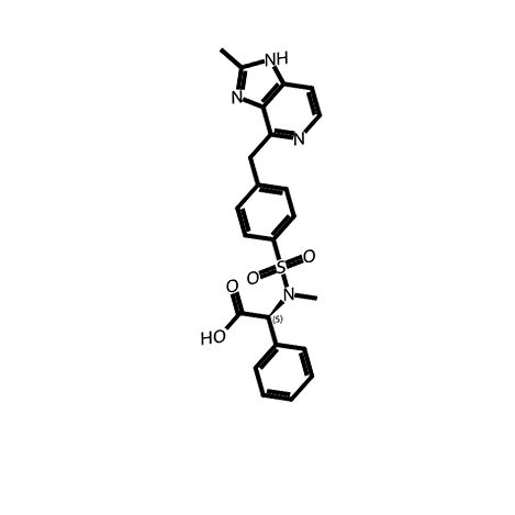 Cc1nc2c(Cc3ccc(S(=O)(=O)N(C)[C@H](C(=O)O)c4ccccc4)cc3)nccc2[nH]1